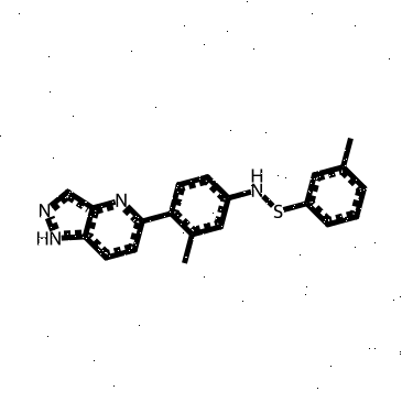 Cc1cccc(SNc2ccc(-c3ccc4[nH]ncc4n3)c(C)c2)c1